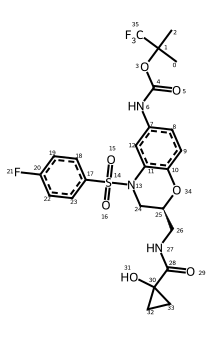 CC(C)(OC(=O)Nc1ccc2c(c1)N(S(=O)(=O)c1ccc(F)cc1)C[C@H](CNC(=O)C1(O)CC1)O2)C(F)(F)F